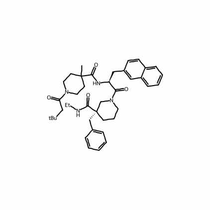 CCNC(=O)[C@]1(Cc2ccccc2)CCCN(C(=O)[C@H](Cc2ccc3ccccc3c2)NC(=O)C2(C)CCN(C(=O)CC(C)(C)C)CC2)C1